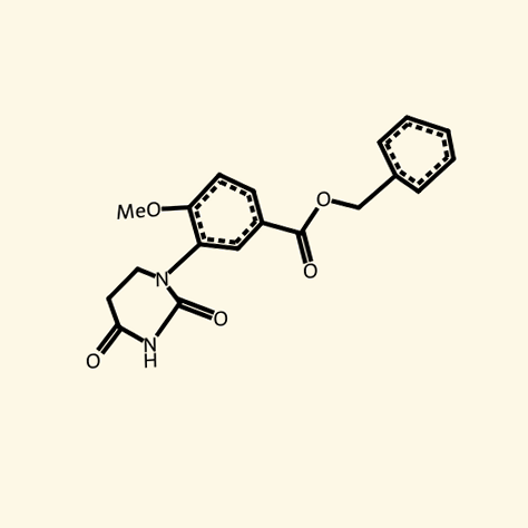 COc1ccc(C(=O)OCc2ccccc2)cc1N1CCC(=O)NC1=O